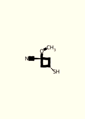 CO[C@]1(C#N)C[C@H](S)C1